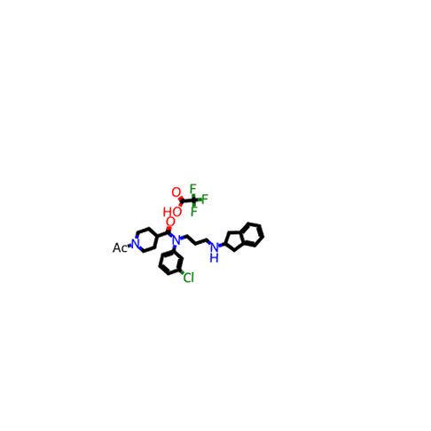 CC(=O)N1CCC(C(=O)N(CCCNC2Cc3ccccc3C2)c2cccc(Cl)c2)CC1.O=C(O)C(F)(F)F